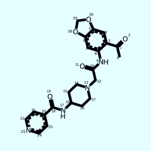 CC(=O)c1cc2c(cc1NC(=O)CN1CCC(NC(=O)c3ccncc3)CC1)OCO2